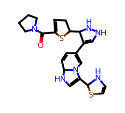 O=C(C1=CCC(C2NNC=C2C2=CN3C(C4NC=CS4)=CNC3C=C2)S1)N1CCCC1